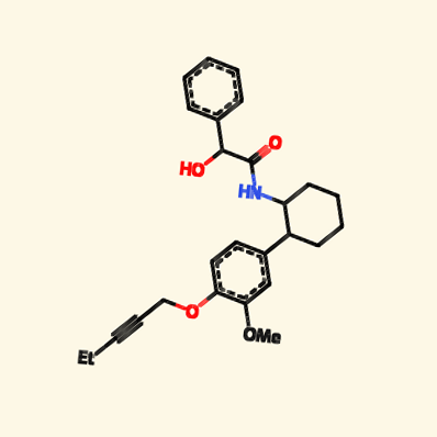 CCC#CCOc1ccc(C2CCCCC2NC(=O)C(O)c2ccccc2)cc1OC